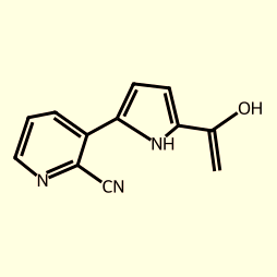 C=C(O)c1ccc(-c2cccnc2C#N)[nH]1